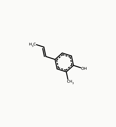 CC=Cc1ccc(O)c(C)c1